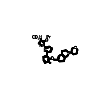 Cc1cccc(-c2cccc(-n3ncc(C(=O)O)c3OC(C)C)n2)c1OCc1ccc2c(c1)CCN(C1CCCOC1)C2